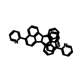 c1ccc(-c2ccc3c4c(cccc24)C24c5cccc6c(-c7ccccn7)ccc(c56)C32c2cccc3sc5cccc4c5c23)nc1